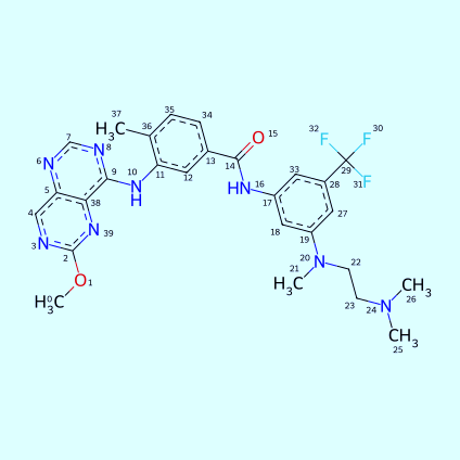 COc1ncc2ncnc(Nc3cc(C(=O)Nc4cc(N(C)CCN(C)C)cc(C(F)(F)F)c4)ccc3C)c2n1